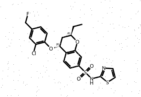 CC[C@@H]1C[C@@H](Oc2ccc(CF)cc2Cl)c2ccc(S(=O)(=O)Nc3nccs3)cc2O1